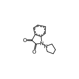 O=C1C(=O)N(N2CCCC2)c2ccccc21